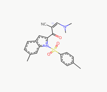 Cc1ccc(S(=O)(=O)n2c(C(=O)/C(C#N)=C\N(C)C)cc3ccc(C)cc32)cc1